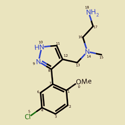 COc1ccc(Cl)cc1-c1n[nH]cc1CN(C)CCN